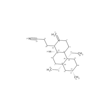 C=C1CCC2[C@@H](CC[C@]3(CC)C[C@@H](C)CC[C@]23CC)C1CCC#N